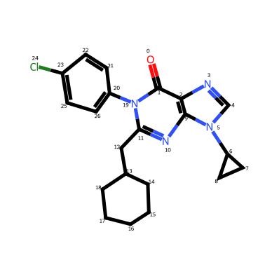 O=c1c2ncn(C3CC3)c2nc(CC2CCCCC2)n1-c1ccc(Cl)cc1